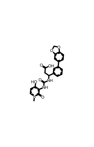 Cn1ccc(O)c(NC(=O)NC(CC(=O)O)c2cccc(-c3ccc4c(c3)OCO4)c2)c1=O